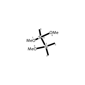 CO[Si](C)(C)[Si](C)(OC)OC